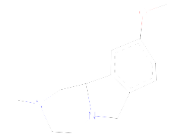 COc1ccc2c(c1)C1CN(C)CCN1C2